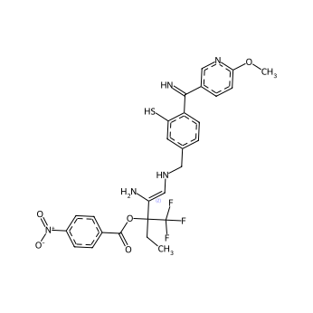 CCC(OC(=O)c1ccc([N+](=O)[O-])cc1)(/C(N)=C/NCc1ccc(C(=N)c2ccc(OC)nc2)c(S)c1)C(F)(F)F